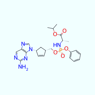 CC(C)OC(=O)[C@H](C)N[P@](=O)(OC[C@@H]1C=C[C@H](n2cnc3cnc(N)nc32)C1)Oc1ccccc1